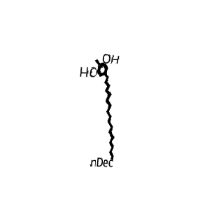 CCCCCCCCCCCCCCCCCCCCCCCCCCCc1cc(O)c(C)c(O)c1